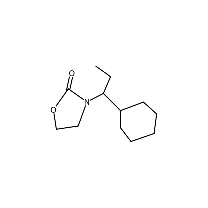 CCC(C1CCCCC1)N1CCOC1=O